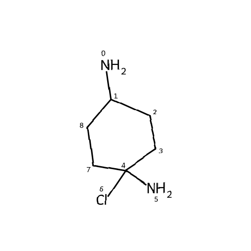 NC1CCC(N)(Cl)CC1